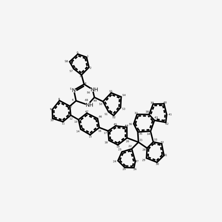 c1ccc(C2=NC(c3ccccc3-c3ccc(-c4ccc(C5(c6ccccc6)c6ccccc6-c6c5ccc5ccccc65)cc4)cc3)NC(c3ccccc3)N2)cc1